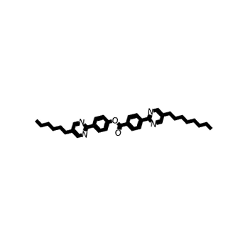 CCCCCCCCc1cnc(-c2ccc(C(=O)Oc3ccc(-c4ncc(CCCCCC)cn4)cc3)cc2)nc1